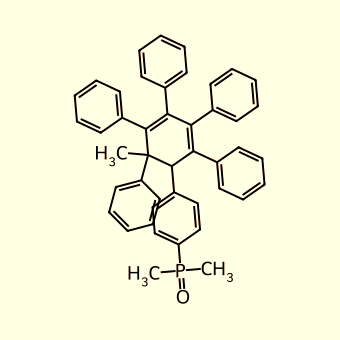 CC1(c2ccccc2)C(c2ccccc2)=C(c2ccccc2)C(c2ccccc2)=C(c2ccccc2)C1c1ccc(P(C)(C)=O)cc1